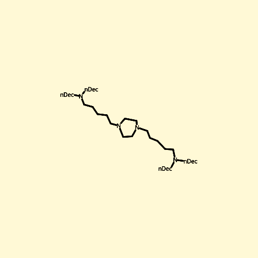 CCCCCCCCCCN(CCCCCCCCCC)CCCCCN1CCN(CCCCCN(CCCCCCCCCC)CCCCCCCCCC)CC1